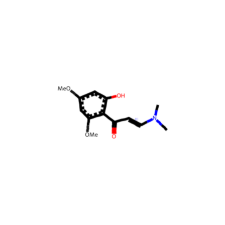 COc1cc(O)c(C(=O)/C=C/N(C)C)c(OC)c1